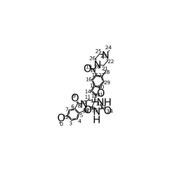 COc1ccc2c(c1)C(=O)N(C[C@@]1(c3cc4cc(C(=O)N5CCN(C)CC5)c(C)cc4o3)NC(=O)NC1=O)C2